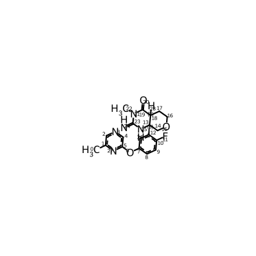 Cc1cncc(Oc2ccc(F)c([C@]34COCC[C@H]3C(=O)N(C)C(=N)N4)c2)n1